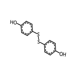 Oc1ccc(SSc2ccc(O)cc2)cc1